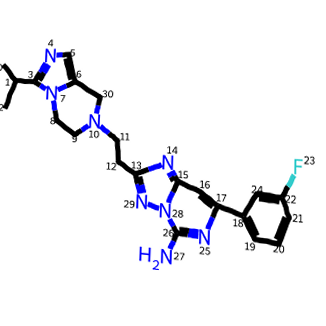 CC(C)c1ncc2n1CCN(CCc1nc3cc(-c4cccc(F)c4)nc(N)n3n1)C2